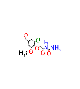 COc1cc(C=O)cc(Cl)c1OCC(=O)NC(N)=O